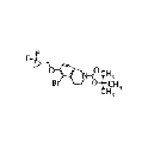 CC(C)(C)OC(=O)N1CCc2c(ccc(OCC3CC3(F)F)c2Br)C1